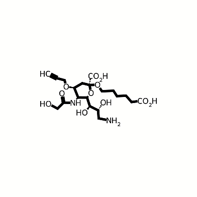 C#CCO[C@H]1C[C@](OCCCCCC(=O)O)(C(=O)O)O[C@@H]([C@H](O)[C@H](O)CN)[C@@H]1NC(=O)CO